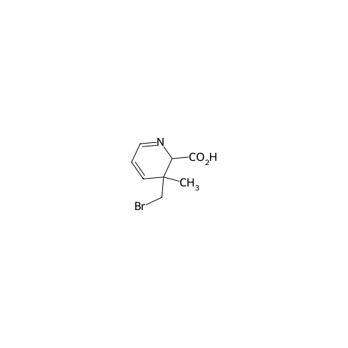 CC1(CBr)C=CC=NC1C(=O)O